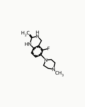 C=C1NCc2c(ccc(N3CCN(C)CC3)c2F)N1